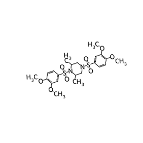 COc1ccc(S(=O)(=O)N2CC(C)N(S(=O)(=O)c3ccc(OC)c(OC)c3)C(C)C2)cc1OC